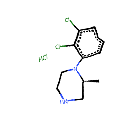 C[C@H]1CNCCN1c1cccc(Cl)c1Cl.Cl